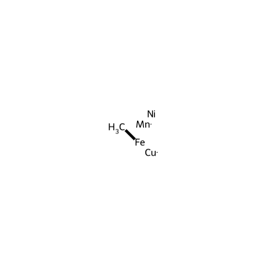 [CH3][Fe].[Cu].[Mn].[Ni]